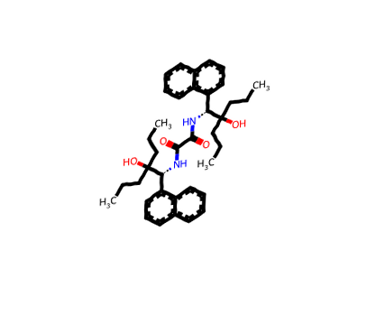 CCCC(O)(CCC)[C@H](NC(=O)C(=O)N[C@H](c1cccc2ccccc12)C(O)(CCC)CCC)c1cccc2ccccc12